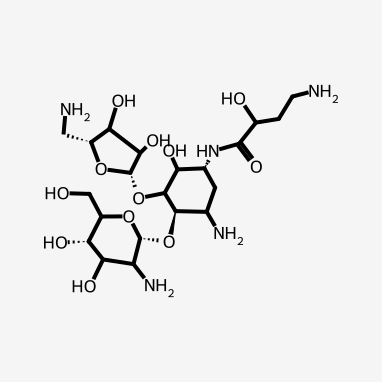 NCCC(O)C(=O)N[C@@H]1CC(N)[C@@H](O[C@H]2OC(CO)[C@@H](O)C(O)C2N)C(O[C@@H]2O[C@H](CN)C(O)C2O)C1O